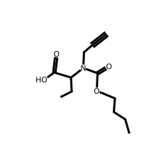 C#CCN(C(=O)OCCCC)C(CC)C(=O)O